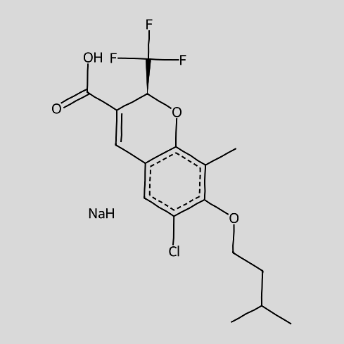 Cc1c(OCCC(C)C)c(Cl)cc2c1O[C@H](C(F)(F)F)C(C(=O)O)=C2.[NaH]